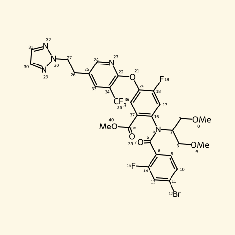 COCC(COC)N(C(=O)c1ccc(Br)cc1F)c1cc(F)c(Oc2ncc(CCn3nccn3)cc2C(F)(F)F)cc1C(=O)OC